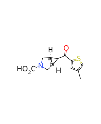 Cc1csc(C(=O)C2[C@H]3CN(C(=O)O)C[C@@H]23)c1